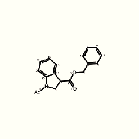 CC(=O)N1CC(C(=O)OCc2ccccc2)c2ccccc21